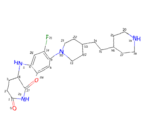 O=C1CCC(Nc2ccc(N3CCC(CCC4CCNCC4)CC3)c(F)c2)C(=O)N1